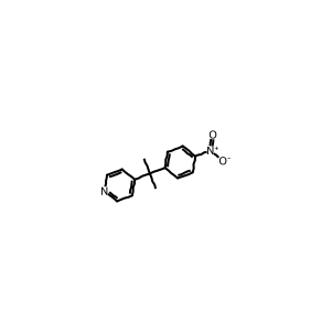 CC(C)(c1ccncc1)c1ccc([N+](=O)[O-])cc1